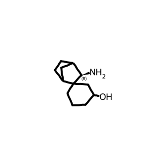 N[C@@H]1C2CCC(C2)C12CCCC(O)C2